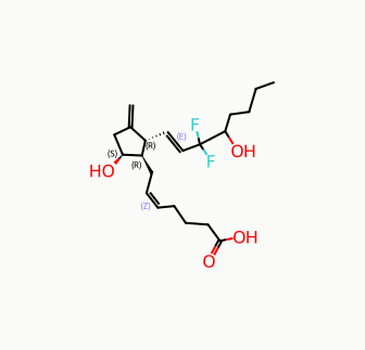 C=C1C[C@H](O)[C@H](C/C=C\CCCC(=O)O)[C@H]1/C=C/C(F)(F)C(O)CCCC